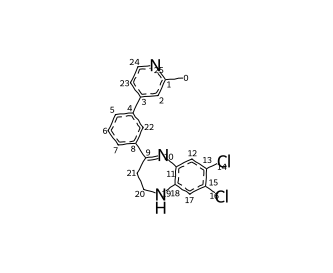 Cc1cc(-c2cccc(C3=Nc4cc(Cl)c(Cl)cc4NCC3)c2)ccn1